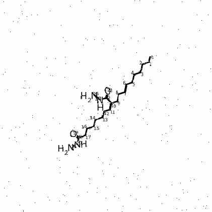 CCCCCCC=CCCC(=CCCCCCCC(=O)NN)C(=O)NN